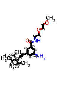 COCCOCCNC(=O)c1cc(N)cc(C#C[Si](C(C)C)(C(C)C)C(C)C)c1